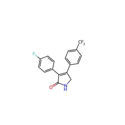 O=C1NCC(c2ccc(C(F)(F)F)cc2)=C1c1ccc(F)cc1